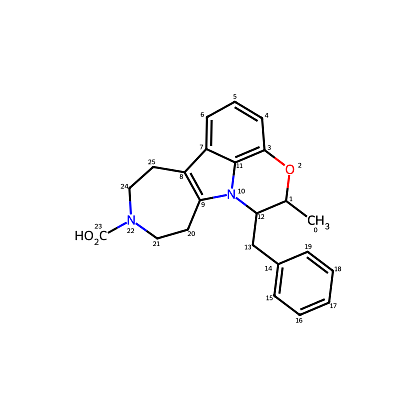 CC1Oc2cccc3c4c(n(c23)C1Cc1ccccc1)CCN(C(=O)O)CC4